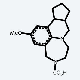 COc1cc2c3c(c1)C1CCCC1CN3CCN(C(=O)O)C2